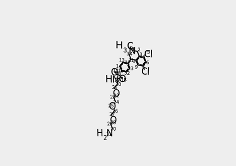 CN1Cc2c(Cl)cc(Cl)cc2C(c2ccc(S(=O)(=O)NCCOCCOCCOCCN)cc2)C1